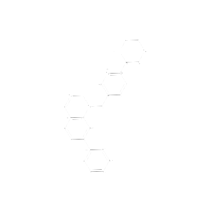 C1=NCN(Cc2ccc(C3CNCCO3)nc2)c2cc(-c3ccccc3)ccc21